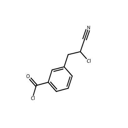 N#CC(Cl)Cc1cccc(C(=O)Cl)c1